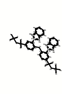 CC(C)(C)CC(C)(C)c1ccc(Cc2ccc(C(C)(C)CC(C)(C)C)cc2-n2nc3ccccc3n2)c(-n2nc3ccccc3n2)c1